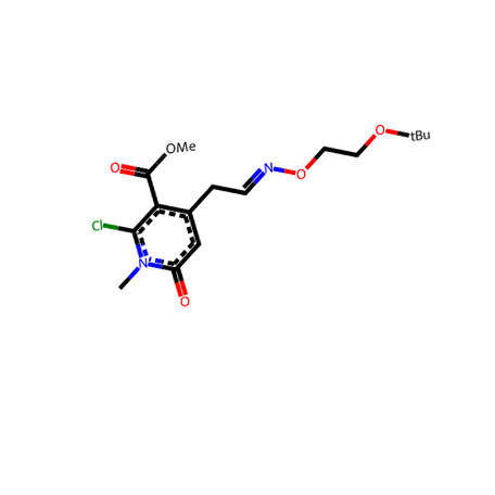 COC(=O)c1c(CC=NOCCOC(C)(C)C)cc(=O)n(C)c1Cl